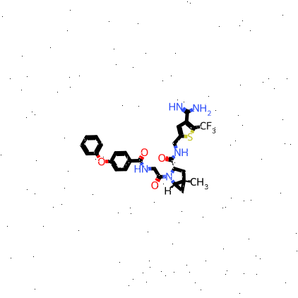 C[C@@]12C[C@@H]1N(C(=O)CNC(=O)c1ccc(Oc3ccccc3)cc1)[C@H](C(=O)NCc1cc(C(=N)N)c(C(F)(F)F)s1)C2